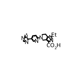 CCn1nc(C(=O)O)c2c1CCN(c1ccc(-c3ncnn3C)cn1)C2